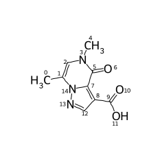 Cc1cn(C)c(=O)c2c(C(=O)O)cnn12